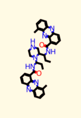 CCC(NC(=O)c1cccc2nc3cccc(C)c3nc12)C1CNCCN1C(CC)NC(=O)c1cccc2nc3cccc(C)c3nc12